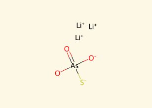 O=[As]([O-])([O-])[S-].[Li+].[Li+].[Li+]